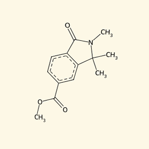 COC(=O)c1ccc2c(c1)C(C)(C)N(C)C2=O